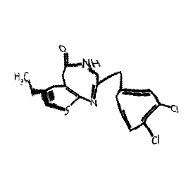 Cc1csc2nc(Cc3ccc(Cl)c(Cl)c3)[nH]c(=O)c12